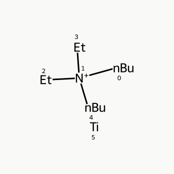 CCCC[N+](CC)(CC)CCCC.[Ti]